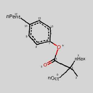 CCCCCCCCC(C)(CCCCCC)C(=O)Oc1ccc(CCCCC)cc1